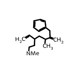 C=CC(CCNC)CC(C)C(=C)Cc1ccccc1